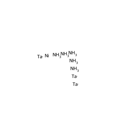 N.N.N.N.N.[Ni].[Ta].[Ta].[Ta]